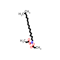 CCC(=O)ON(CCCCCCCCCCCCCCCC(C)C)OC(=O)CC